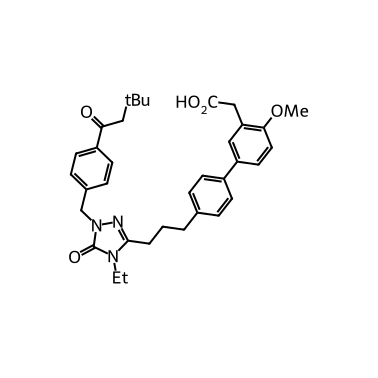 CCn1c(CCCc2ccc(-c3ccc(OC)c(CC(=O)O)c3)cc2)nn(Cc2ccc(C(=O)CC(C)(C)C)cc2)c1=O